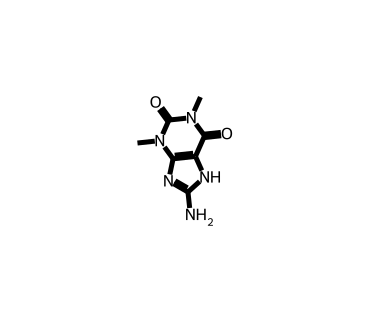 Cn1c(=O)c2[nH]c(N)nc2n(C)c1=O